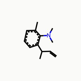 C=CC(C)c1cccc(C)c1N(C)C